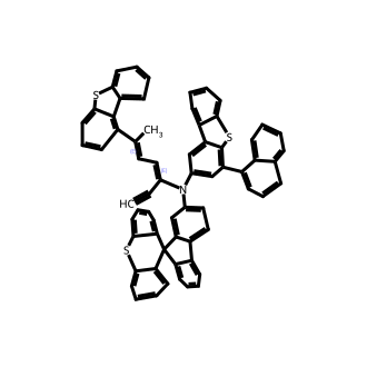 C#C/C(=C\C=C(/C)c1cccc2sc3ccccc3c12)N(c1ccc2c(c1)C1(c3ccccc3Sc3ccccc31)c1ccccc1-2)c1cc(-c2cccc3ccccc23)c2sc3ccccc3c2c1